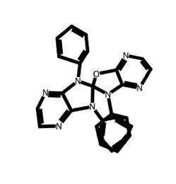 c1ccc(N2c3nccnc3OC23N(c2ccccc2)c2nccnc2N3c2ccccc2)cc1